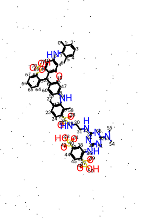 Cc1cccc(C)c1Nc1ccc2c(c1)Oc1cc(Nc3c(C)ccc(S(=O)(=O)NCCNc4nc(Nc5cc(S(=O)(=O)O)ccc5S(=O)(=O)O)nc(N(C)C)n4)c3C)ccc1C2c1ccccc1S(=O)(=O)O